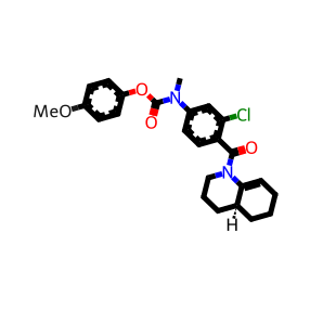 COc1ccc(OC(=O)N(C)c2ccc(C(=O)N3CCC[C@@H]4CCCC=C43)c(Cl)c2)cc1